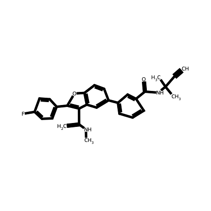 C#CC(C)(C)NC(=O)c1cccc(-c2ccc3oc(-c4ccc(F)cc4)c(C(=C)NC)c3c2)c1